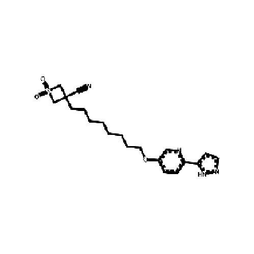 N#CC1(CCCCCCCCOc2ccc(-c3ccn[nH]3)nc2)CS(=O)(=O)C1